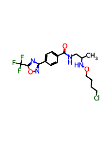 CC(CNC(=O)c1ccc(-c2noc(C(F)(F)F)n2)cc1)NOCCCCCl